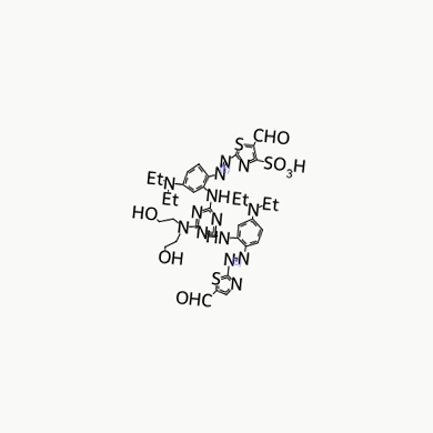 CCN(CC)c1ccc(/N=N/c2ncc(C=O)s2)c(Nc2nc(Nc3cc(N(CC)CC)ccc3/N=N/c3nc(S(=O)(=O)O)c(C=O)s3)nc(N(CCO)CCO)n2)c1